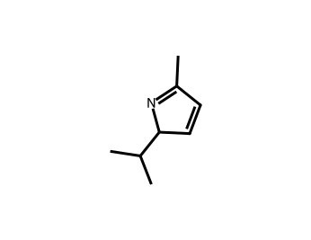 CC1=NC(C(C)C)C=C1